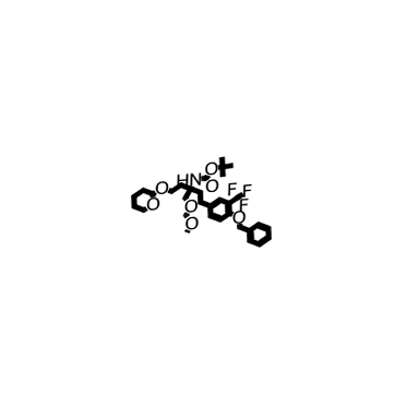 COCOCC(CCOC1CCCCO1)(CCc1ccc(OCc2ccccc2)c(C(F)(F)F)c1)NC(=O)OC(C)(C)C